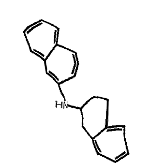 c1ccc2c(c1)CCC(Nc1ccc3ccccc3c1)C2